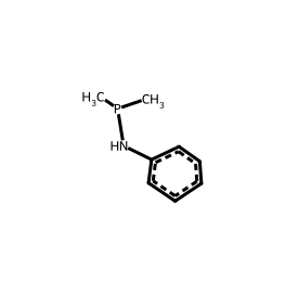 CP(C)Nc1ccccc1